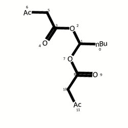 CCCCC(OC(=O)CC(C)=O)OC(=O)CC(C)=O